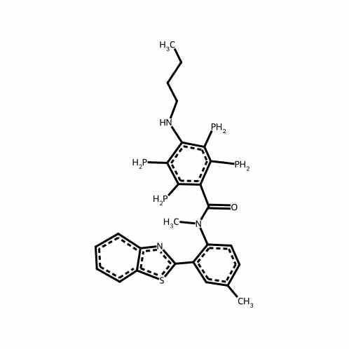 CCCCNc1c(P)c(P)c(C(=O)N(C)c2ccc(C)cc2-c2nc3ccccc3s2)c(P)c1P